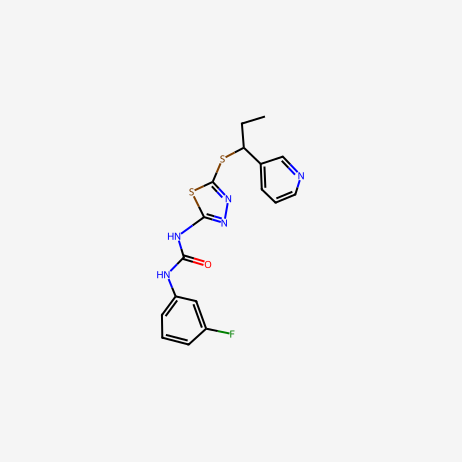 CCC(Sc1nnc(NC(=O)Nc2cccc(F)c2)s1)c1cccnc1